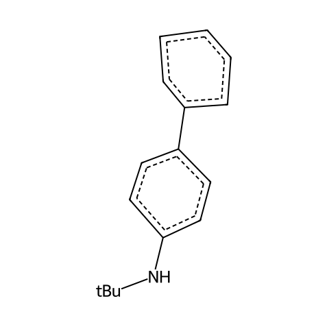 CC(C)(C)Nc1ccc(-c2ccccc2)cc1